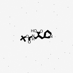 CC(C)(C)OC(=O)NCC(=Cc1cccnc1)C(=O)O